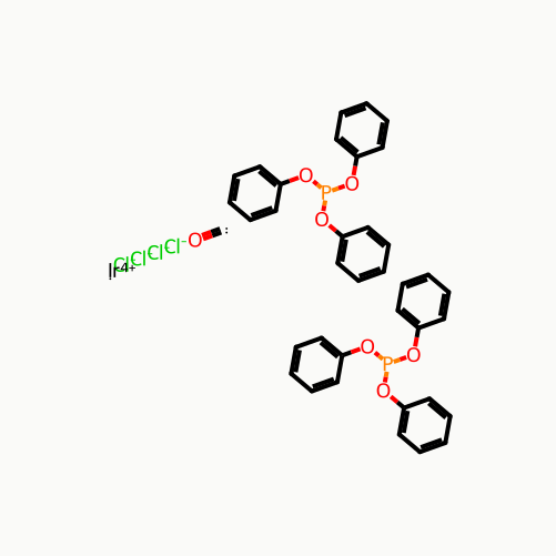 [C]=O.[Cl-].[Cl-].[Cl-].[Cl-].[Ir+4].c1ccc(OP(Oc2ccccc2)Oc2ccccc2)cc1.c1ccc(OP(Oc2ccccc2)Oc2ccccc2)cc1